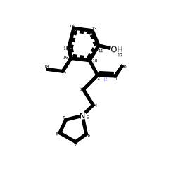 C/C=C(/CCN1CCCC1)c1c(O)cccc1CC